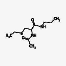 CCCNC(=O)C(CSCC)NC(C)=O